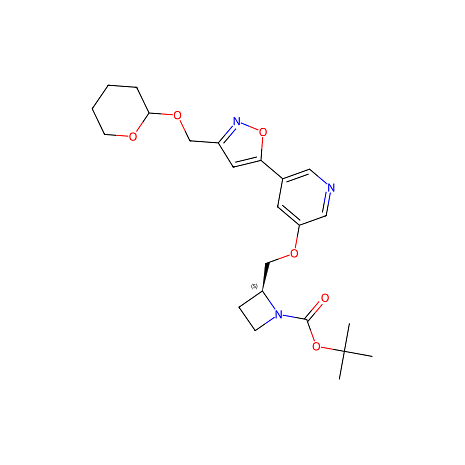 CC(C)(C)OC(=O)N1CC[C@H]1COc1cncc(-c2cc(COC3CCCCO3)no2)c1